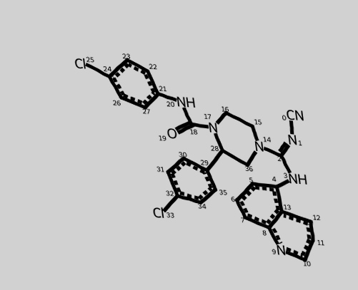 N#C/N=C(/Nc1cccc2ncccc12)N1CCN(C(=O)Nc2ccc(Cl)cc2)C(c2ccc(Cl)cc2)C1